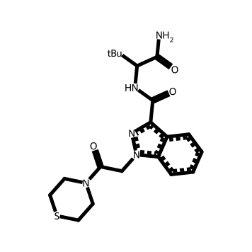 CC(C)(C)C(NC(=O)c1nn(CC(=O)N2CCSCC2)c2ccccc12)C(N)=O